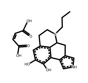 CCCN1CCc2cc(O)c(O)c3c2C1Cc1c[nH]cc1-3.O=C(O)/C=C\C(=O)O